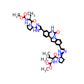 CC[C@H](NC(=O)OC)C(=O)N1CCC[C@H]1c1ncc(-c2ccc3c(c2)NC(=O)N2c4ccc(-c5cnc(C6CCCN6C(=O)[C@@H](NC(=O)OC)C(C)C)[nH]5)cc4CC32)[nH]1